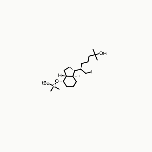 CC(C)(O)CCC[C@@H](CI)[C@H]1CC[C@H]2[C@@H](O[Si](C)(C)C(C)(C)C)CCC[C@]12C